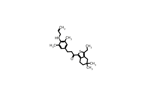 C=CCNc1c(C)cc(CCC(=O)c2sc(CC)c3c2CCC(C)(C)C3)cc1C